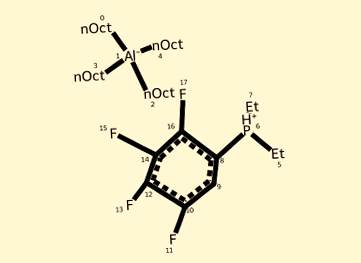 CCCCCCC[CH2][Al-]([CH2]CCCCCCC)([CH2]CCCCCCC)[CH2]CCCCCCC.CC[PH+](CC)c1cc(F)c(F)c(F)c1F